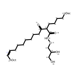 CCCCCCCC/C=C\CCCCCCCC(=O)C(CCCCCCCCCCCCCC)C(=O)POCC(O)CO